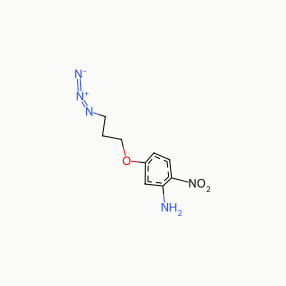 [N-]=[N+]=NCCCOc1ccc([N+](=O)[O-])c(N)c1